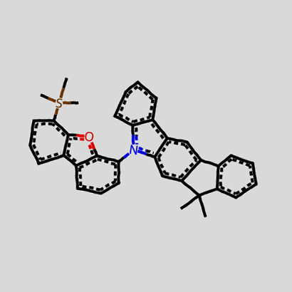 CC1(C)c2ccccc2-c2cc3c4ccccc4n(-c4cccc5c4oc4c(S(C)(C)C)cccc45)c3cc21